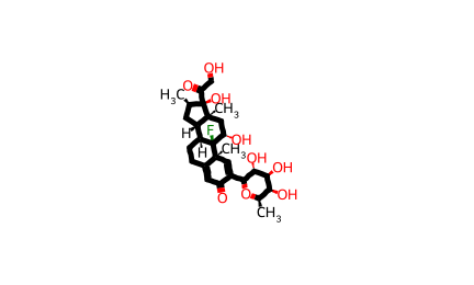 C[C@@H]1C[C@H]2[C@@H]3CCC4=CC(=O)C(C5O[C@H](C)[C@H](O)[C@H](O)[C@H]5O)=C[C@]4(C)[C@@]3(F)[C@@H](O)C[C@]2(C)[C@@]1(O)C(=O)CO